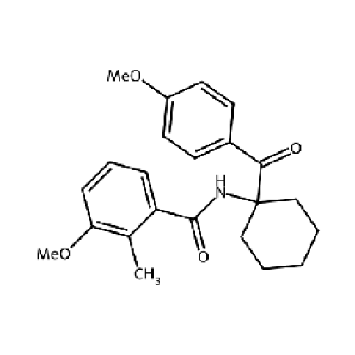 COc1ccc(C(=O)C2(NC(=O)c3cccc(OC)c3C)CCCCC2)cc1